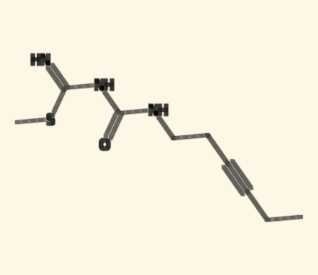 CCC#CCCNC(=O)NC(=N)SC